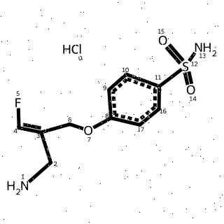 Cl.NC/C(=C/F)COc1ccc(S(N)(=O)=O)cc1